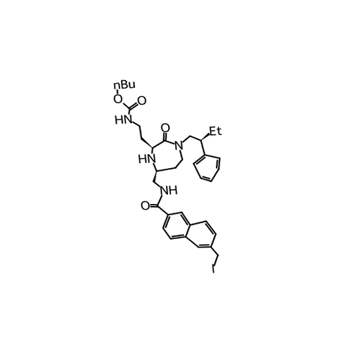 CCCCOC(=O)NCC[C@@H]1N[C@H](CNC(=O)c2ccc3cc(CI)ccc3c2)CCN(C[C@@H](CC)c2ccccc2)C1=O